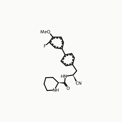 COc1ccc(-c2ccc(C[C@@H](C#N)NC(=O)[C@@H]3CCCCN3)cc2)cc1F